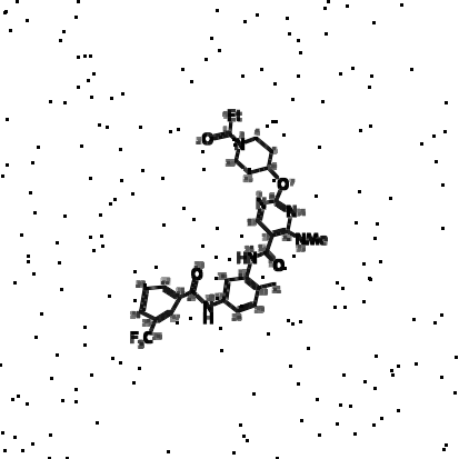 CCC(=O)N1CCC(Oc2ncc(C(=O)Nc3cc(NC(=O)c4cccc(C(F)(F)F)c4)ccc3C)c(NC)n2)CC1